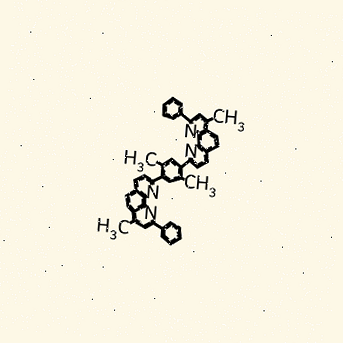 Cc1cc(-c2ccc3ccc4c(C)cc(-c5ccccc5)nc4c3n2)c(C)cc1-c1ccc2ccc3c(C)cc(-c4ccccc4)nc3c2n1